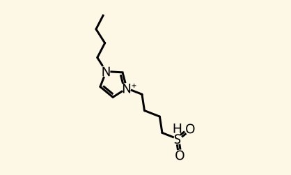 CCCCn1cc[n+](CCCC[SH](=O)=O)c1